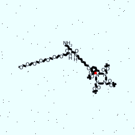 COCCOCCOCCOCCOCCOCCOCCC(=O)N[C@@H](CCCCN)C(=O)NCCCCCCCOc1ccc(C[C@H]2CN(CC(=O)OC(C)(C)C)CCN(CC(=O)OC(C)(C)C)CCN(CC(=O)OC(C)(C)C)CCN2CC(=O)OC(C)(C)C)cc1